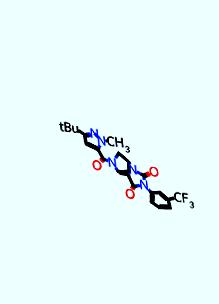 Cn1nc(C(C)(C)C)cc1C(=O)N1CC2CC1=C1C(=O)N(c3cccc(C(F)(F)F)c3)C(=O)N12